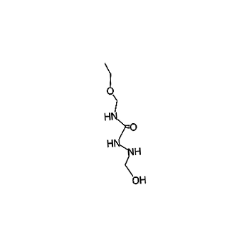 CCOCNC(=O)NNCO